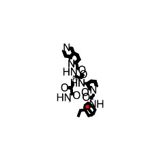 CCC12CC3CC(C1)C(NC(=O)Cn1cccc(NC(=O)[C@H](CCC(=O)C(=O)NC)NC(=O)c4ccc5cnccc5n4)c1=O)C2C3